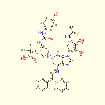 CCC(=O)N[C@H]1C[C@@H](n2cnc3c(NCC(c4ccccc4)c4ccccc4)nc(N4CC[C@@H](NC(=O)Nc5ccc(O)cc5)C4)nc32)[C@H](O)[C@@H]1O.O=C(O)C(F)(F)F